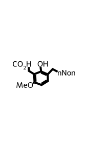 CCCCCCCCCCc1ccc(OC)c(CC(=O)O)c1O